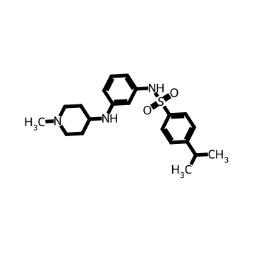 CC(C)c1ccc(S(=O)(=O)Nc2cccc(NC3CCN(C)CC3)c2)cc1